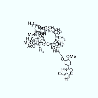 CC[C@H]1OC(=O)[C@H](C)[C@@H](O[C@H]2C[C@@](C)(OC)[C@@H](OC(C)=O)[C@H](C)O2)[C@H](C)[C@@H](O[C@@H]2O[C@H](C)C[C@H](NC)[C@H]2O)[C@](C)(OC)C[C@@H](C)C(=O)[C@H](C)[C@@H](C)[C@]1(C)OC(=O)NCCCOc1cc(C(=O)Nc2c(Cl)cncc2Cl)ccc1OC